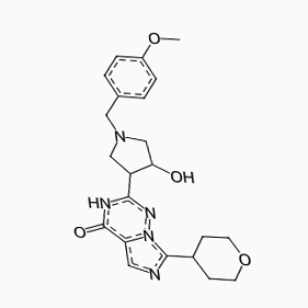 COc1ccc(CN2CC(O)C(c3nn4c(C5CCOCC5)ncc4c(=O)[nH]3)C2)cc1